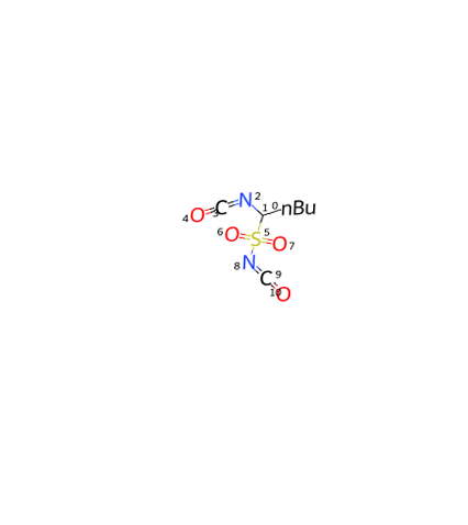 CCCCC(N=C=O)S(=O)(=O)N=C=O